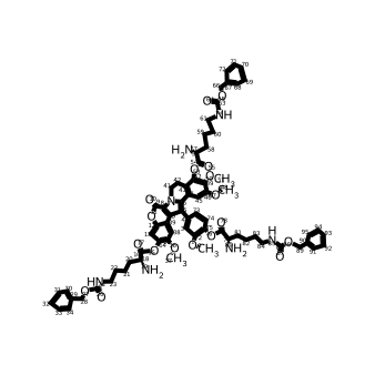 COc1cc(-c2c3n(c4c(=O)oc5cc(OC(=O)[C@@H](N)CCCCNC(=O)OCc6ccccc6)c(OC)cc5c24)CCc2c-3cc(OC)c(OC)c2OC(=O)[C@@H](N)CCCCNC(=O)OCc2ccccc2)ccc1OC(=O)[C@H](N)CCCCNC(=O)OCc1ccccc1